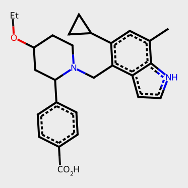 CCOC1CCN(Cc2c(C3CC3)cc(C)c3[nH]ccc23)C(c2ccc(C(=O)O)cc2)C1